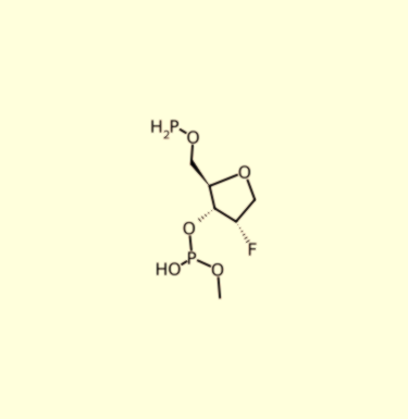 COP(O)O[C@H]1[C@@H](F)CO[C@@H]1COP